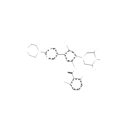 CC1CN(c2cc(F)c(-c3cnc(N4CCOCC4)nc3)cc2NC(=O)c2c(Cl)cccc2Cl)CC(C)N1C